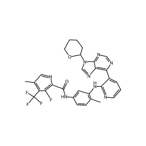 Cc1ccc(NC(=O)c2ncc(C)c(C(F)(F)F)c2F)cc1Nc1ncccc1-c1ncnc2c1ncn2C1CCCCO1